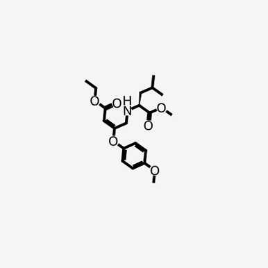 CCOC(=O)C=C(CN[C@@H](CC(C)C)C(=O)OC)Oc1ccc(OC)cc1